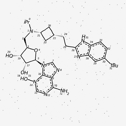 CC(C)N(C[C@H]1O[C@@H](n2cnc3c(N)nc[n+](O)c32)[C@H](O)[C@@H]1O)[C@H]1C[C@@H](CCc2nc3cc(C(C)(C)C)ccc3[nH]2)C1